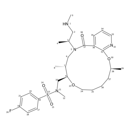 CNC[C@H](C)N1C[C@@H](C)[C@H](CN(C)S(=O)(=O)c2ccc(F)cc2)OCCCC[C@H](C)Oc2ncccc2C1=O